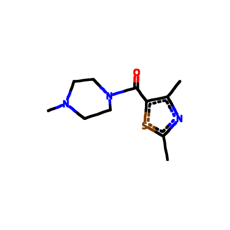 Cc1nc(C)c(C(=O)N2CCN(C)CC2)s1